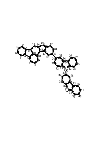 c1ccc2c(c1)-c1cccc3c1c-2cc1sc2ccc(-c4ccc5c(c4)c4ccccc4n5-c4ccc5oc6ccccc6c5c4)cc2c13